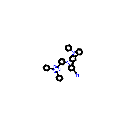 N#Cc1ccc2c(c1)c1cc3c4ccccc4n(-c4ccccc4)c3cc1n2-c1cccc(-c2nc(-c3ccccc3)nc(-c3ccccc3)n2)c1